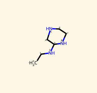 [CH2]CNC1CNCCN1